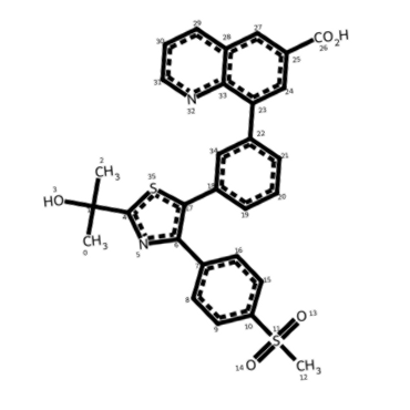 CC(C)(O)c1nc(-c2ccc(S(C)(=O)=O)cc2)c(-c2cccc(-c3cc(C(=O)O)cc4cccnc34)c2)s1